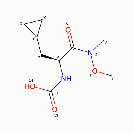 CON(C)C(=O)[C@H](CC1CC1)NC(=O)O